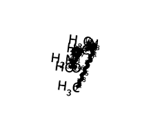 CCCCCCCCCCCCc1cnc(C)n1C.NC(Cc1ccccc1)C(=O)O